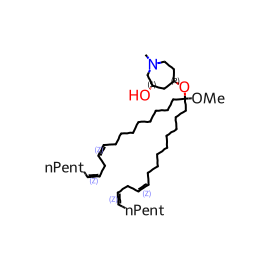 CCCCC/C=C\C/C=C\CCCCCCCCC(CCCCCCCC/C=C\C/C=C\CCCCC)(OC)O[C@@H]1CCN(C)C[C@@H](O)C1